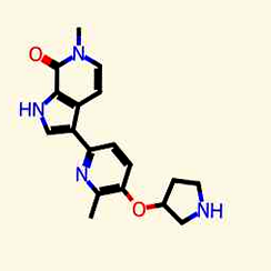 Cc1nc(-c2c[nH]c3c(=O)n(C)ccc23)ccc1OC1CCNC1